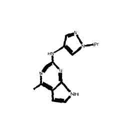 Cc1nc(Nc2cnn(C(C)C)c2)nc2[nH]ccc12